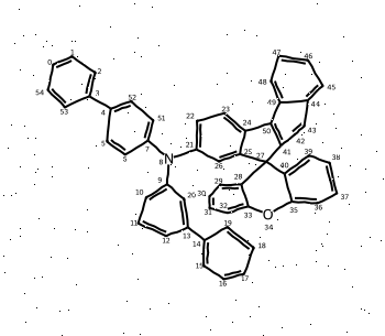 c1ccc(-c2ccc(N(c3cccc(-c4ccccc4)c3)c3ccc4c(c3)C3(c5ccccc5Oc5ccccc53)c3ccc5ccccc5c3-4)cc2)cc1